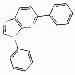 c1ccc(-c2ccc3ncn(-c4ccccc4)c3n2)cc1